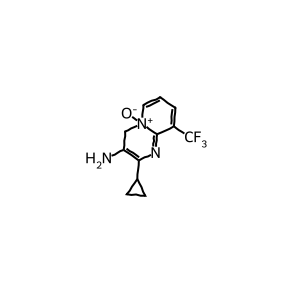 NC1=C(C2CC2)N=C2C(C(F)(F)F)=CC=C[N+]2([O-])C1